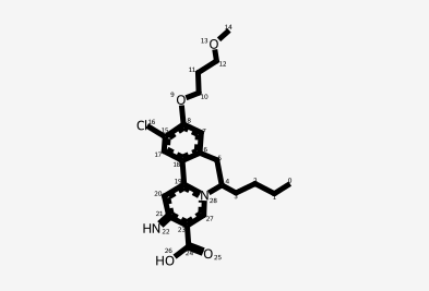 CCCCC1Cc2cc(OCCCOC)c(Cl)cc2-c2cc(=N)c(C(=O)O)cn21